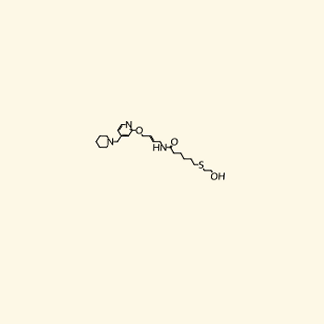 O=C(CCCCCSCCO)NCC=CCOc1cc(CN2CCCCC2)ccn1